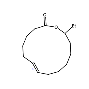 CCC1CCCCC/C=C/CCCCC(=O)O1